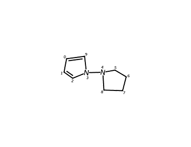 c1ccn(N2CCCC2)c1